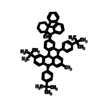 Cc1cc2c3c(c1)N(c1ccc(C(C)(C)C)cc1)c1cc(N4c5ccccc5C5(c6ccccc6)CCCCC45C)ccc1B3c1cc(C(C)(C)C)ccc1N2c1ccc(C(C)(C)C)cc1